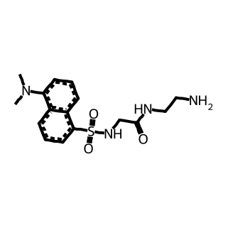 CN(C)c1cccc2c(S(=O)(=O)NCC(=O)NCCN)cccc12